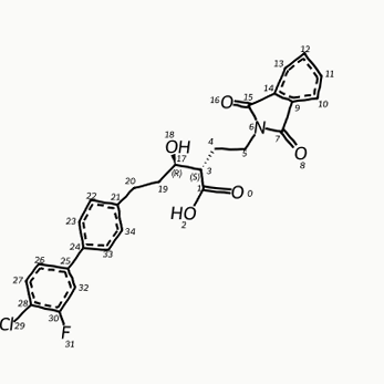 O=C(O)[C@@H](CCN1C(=O)c2ccccc2C1=O)[C@H](O)CCc1ccc(-c2ccc(Cl)c(F)c2)cc1